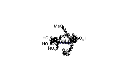 COCCOCCOCCOCCC1(C)\C(=C/C=C/C=C/C=C/C2N(CCOC)c3ccc4c(S(=O)(=O)O)cc(S(=O)(=O)O)cc4c3C2(C)CCCS(=O)(=O)O)N(CCOCCC(=O)ON2C(=O)CCC2=O)c2ccc3c(S(=O)(=O)O)cc(S(=O)(=O)O)cc3c21